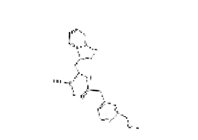 COCc1cccc(CC(=O)NC(Cc2coc3ccccc23)B(O)O)c1